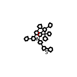 c1ccc(-c2ccc(-c3cc(-c4ccccc4)ccc3N(c3ccc(-c4ccc5sc6ccccc6c5c4)cc3)c3ccc4c(c3)C(c3ccccc3)(c3ccccc3)c3cc(-c5ccccc5)ccc3-4)cc2)cc1